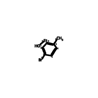 CCO.Cc1ccc(Br)cc1